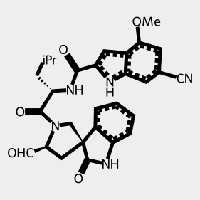 COc1cc(C#N)cc2[nH]c(C(=O)N[C@@H](CC(C)C)C(=O)N3C[C@]4(C[C@H]3C=O)C(=O)Nc3ccccc34)cc12